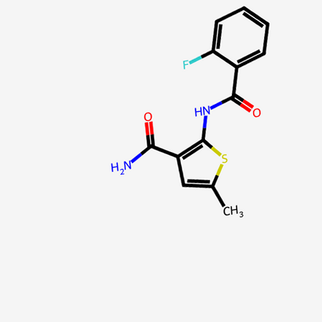 Cc1cc(C(N)=O)c(NC(=O)c2ccccc2F)s1